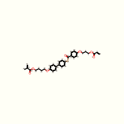 C=CC(=O)OCCCOc1ccc(C(=O)Sc2ccc(-c3ccc(OCCCCOC(=O)C(=C)C)cc3)cc2)cc1